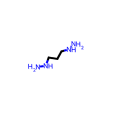 NNCCCNN